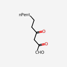 CCCCCCCC(=O)CC(=O)C=O